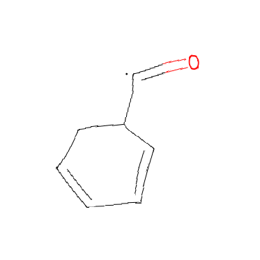 O=[C]C1C=CC=CC1